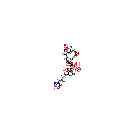 CO[C@@H](/C(C)=C/C=C/C(C)=C/c1coc(C)n1)[C@@H](C)[C@H](C[C@H](O)[C@]1(C)O[C@@H]1/C=C/C(C)C1C[C@@H](C[C@H]2O[C@H]2C)CC(=O)O1)OC=O